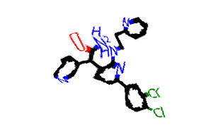 NC(=O)C(c1cccnc1)c1ccc(-c2ccc(Cl)c(Cl)c2)nc1NCCc1ccccn1